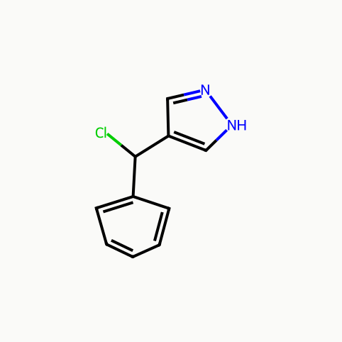 ClC(c1ccccc1)c1cn[nH]c1